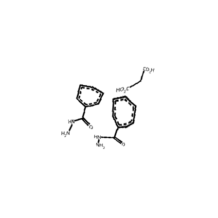 NNC(=O)c1ccccc1.NNC(=O)c1ccccc1.O=C(O)CC(=O)O